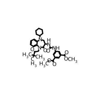 COC(=O)c1cc(NC(=O)NC2CN(C3CCCCC3)c3ccccc3N(CC(=O)C(C)(C)C)C2=O)cc(C(=O)OC)c1